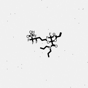 C=CC(=O)OC(OCCCC(F)(F)C(F)(F)S(=O)(=O)O)(C(=O)N(CCC)CCC)C(F)(F)F